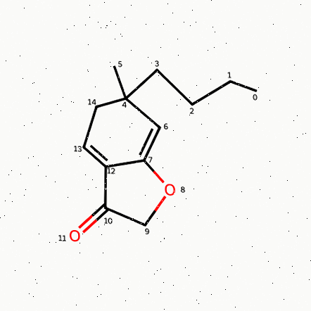 CCCCC1(C)C=C2OCC(=O)C2=CC1